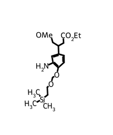 CCOC(=O)CC(COC)c1ccc(OCOCC[Si](C)(C)C)c(N)c1